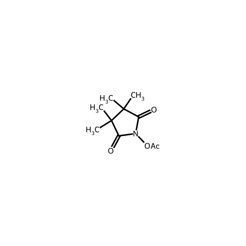 CC(=O)ON1C(=O)C(C)(C)C(C)(C)C1=O